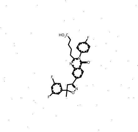 CC1(c2cc(F)cc(F)c2)CC(c2ccc3c(=O)n(-c4ccc(F)cc4)c(CCCCC(=O)O)nc3c2)=NO1